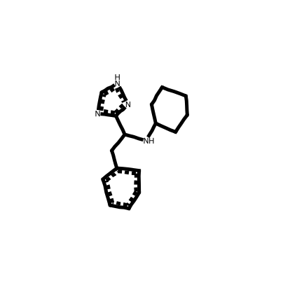 c1ccc(CC(NC2CCCCC2)c2nc[nH]n2)cc1